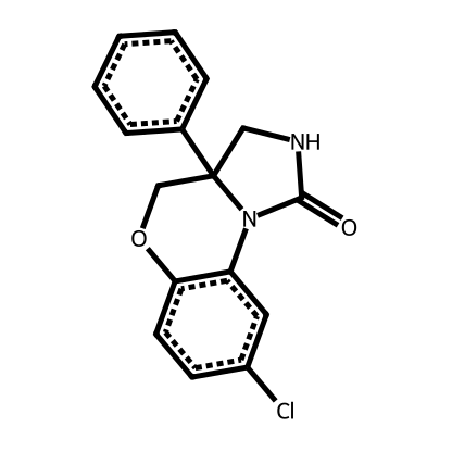 O=C1NCC2(c3ccccc3)COc3ccc(Cl)cc3N12